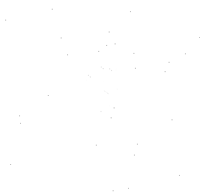 Cc1ccc(-c2ccc3[nH]nc(N)c3c2)cc1